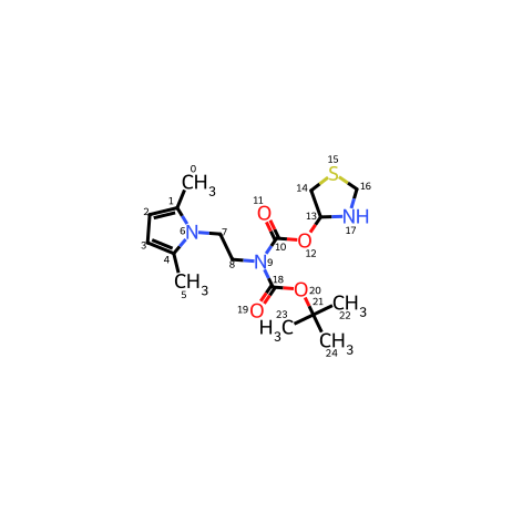 Cc1ccc(C)n1CCN(C(=O)OC1CSCN1)C(=O)OC(C)(C)C